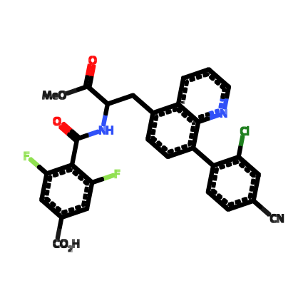 COC(=O)C(Cc1ccc(-c2ccc(C#N)cc2Cl)c2ncccc12)NC(=O)c1c(F)cc(C(=O)O)cc1F